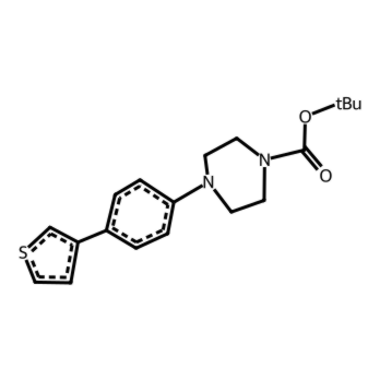 CC(C)(C)OC(=O)N1CCN(c2ccc(-c3ccsc3)cc2)CC1